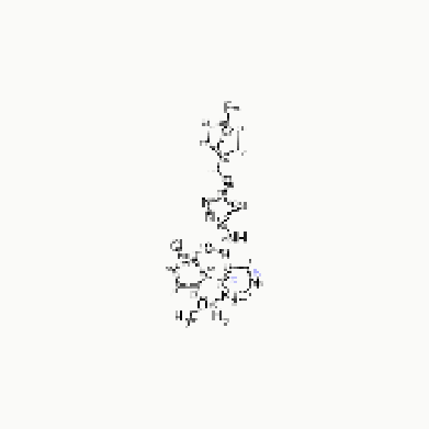 C=C/C(=C(\C=N/C)C(=O)Nc1nnc(OCC23CCC(F)(CC2)CC3)s1)c1cc(Cl)ccc1OC